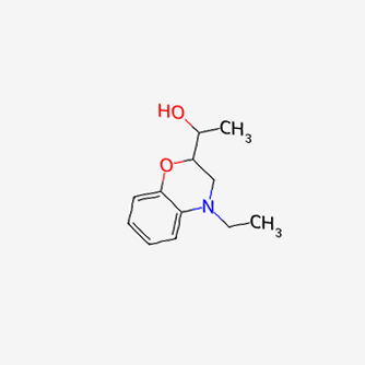 CCN1CC(C(C)O)Oc2ccccc21